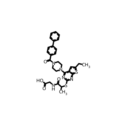 CCc1cc2c(N3CCN(C(=O)c4ccc(-c5ccccc5)cc4)CC3)nc(SC(C)C(=O)NCC(=O)O)nc2s1